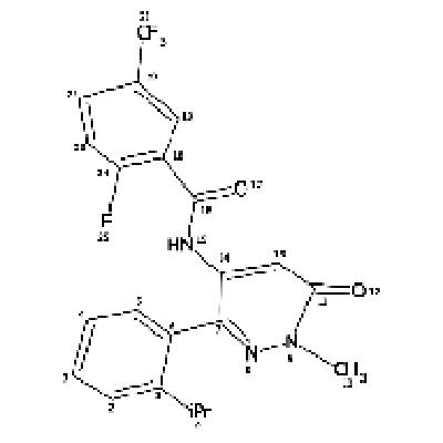 CC(C)c1ccccc1-c1nn(C)c(=O)cc1NC(=O)c1cc(C(F)(F)F)ccc1F